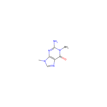 Bn1c(N)nc2c(ncn2C)c1=O